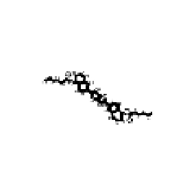 CCCCCC(=O)OC1CC=Cc2cc(-c3cc4sc(-c5ccc6c(c5)C=CCC6OC(=O)CCCCC)cc4s3)ccc21